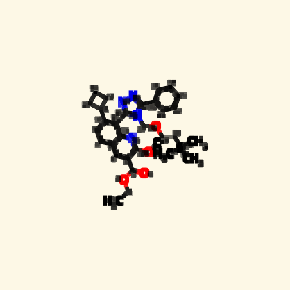 CCOC(=O)c1cc2ccc(C3CCC3)c(-c3nnc(-c4ccccc4)n3COCC[Si](C)(C)C)c2nc1OC